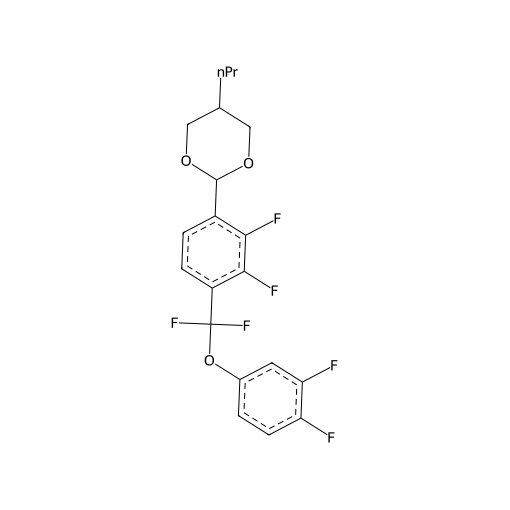 CCCC1COC(c2ccc(C(F)(F)Oc3ccc(F)c(F)c3)c(F)c2F)OC1